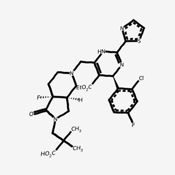 CCOC(=O)C1=C(CN2CC[C@]3(F)C(=O)N(CC(C)(C)C(=O)O)C[C@@H]3C2)NC(c2nccs2)=N[C@H]1c1ccc(F)cc1Cl